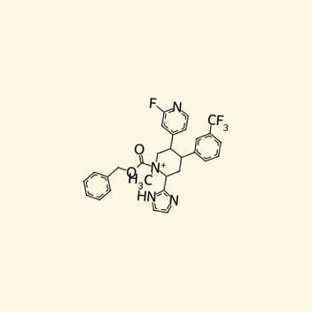 C[N+]1(C(=O)OCc2ccccc2)CC(c2ccnc(F)c2)C(c2cccc(C(F)(F)F)c2)CC1c1ncc[nH]1